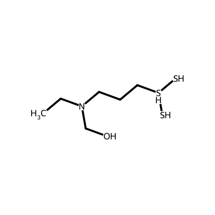 CCN(CO)CCC[SH](S)S